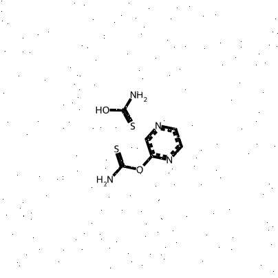 NC(=S)Oc1cnccn1.NC(O)=S